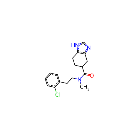 CN(CCc1ccccc1Cl)C(=O)C1CCc2[nH]cnc2C1